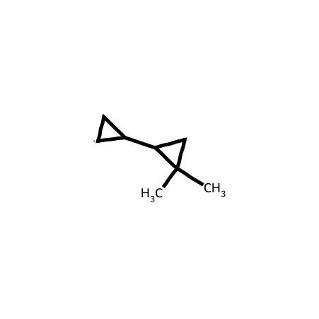 CC1(C)CC1C1[CH]C1